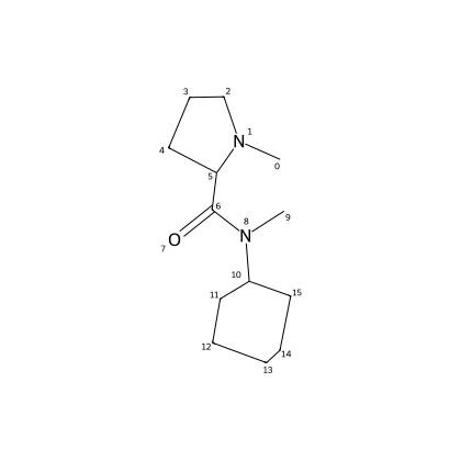 CN1CCCC1C(=O)N(C)C1CCCCC1